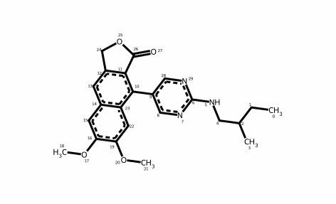 CCC(C)CNc1ncc(-c2c3c(cc4cc(OC)c(OC)cc24)COC3=O)cn1